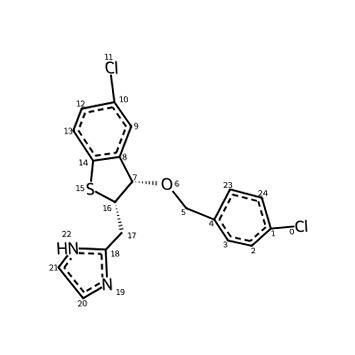 Clc1ccc(CO[C@H]2c3cc(Cl)ccc3S[C@H]2Cc2ncc[nH]2)cc1